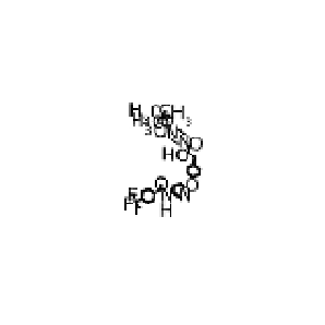 CC(C)(C)OC(=O)N1CCN(C(=O)C(O)Cc2ccc(Oc3ccc(NC(=O)c4ccc(C(F)(F)F)cc4)cn3)cc2)CC1